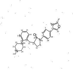 Cc1nc(-c2ccc(N3CCC(Cc4cccnc4N4CCN(C)CC4)C3=O)cc2)co1